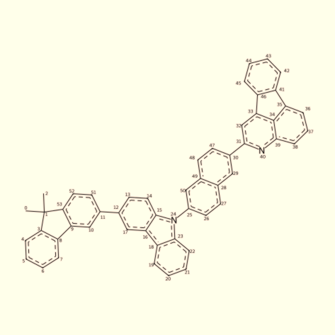 CC1(C)c2ccccc2-c2cc(-c3ccc4c(c3)c3ccccc3n4-c3ccc4cc(-c5cc6c7c(cccc7n5)-c5ccccc5-6)ccc4c3)ccc21